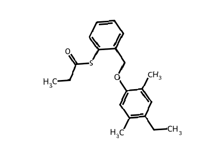 CCC(=O)Sc1ccccc1COc1cc(C)c(CC)cc1C